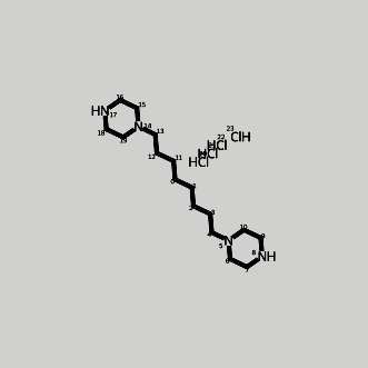 C(CCCCN1CCNCC1)CCCN1CCNCC1.Cl.Cl.Cl.Cl